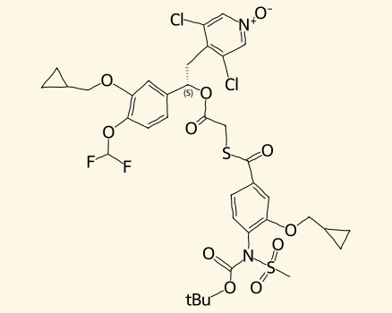 CC(C)(C)OC(=O)N(c1ccc(C(=O)SCC(=O)O[C@@H](Cc2c(Cl)c[n+]([O-])cc2Cl)c2ccc(OC(F)F)c(OCC3CC3)c2)cc1OCC1CC1)S(C)(=O)=O